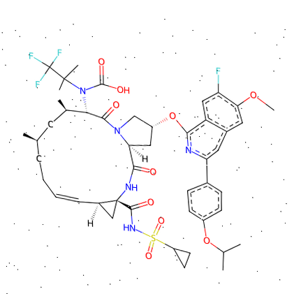 COc1cc2cc(-c3ccc(OC(C)C)cc3)nc(O[C@@H]3C[C@H]4C(=O)N[C@]5(C(=O)NS(=O)(=O)C6CC6)C[C@H]5C=CCC[C@@H](C)C[C@@H](C)[C@H](N(C(=O)O)C(C)(C)C(F)(F)F)C(=O)N4C3)c2cc1F